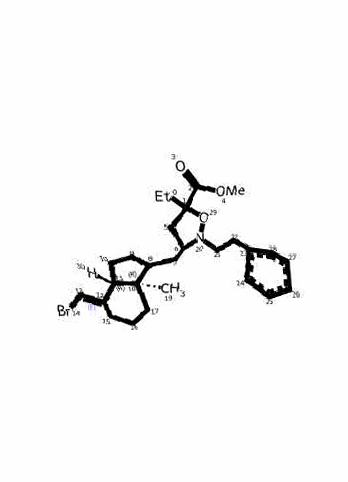 CCC1(C(=O)OC)CC(CC2CC[C@H]3/C(=C/Br)CCC[C@]23C)N(CCc2ccccc2)O1